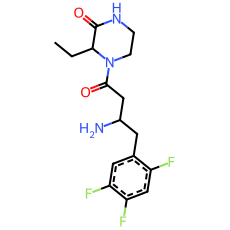 CCC1C(=O)NCCN1C(=O)CC(N)Cc1cc(F)c(F)cc1F